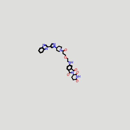 O=C1CCC(N2C(=O)c3ccc(NCCOCCC(=O)N4CCC(n5cc(-c6cnc7ccccc7n6)cn5)CC4)cc3C2=O)C(=O)N1